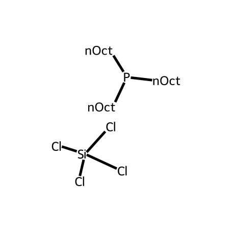 CCCCCCCCP(CCCCCCCC)CCCCCCCC.Cl[Si](Cl)(Cl)Cl